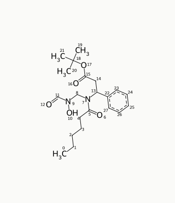 CCCCCC(=O)N(CN(O)C=O)C(CC(=O)OC(C)(C)C)c1ccccc1